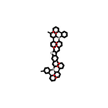 Cc1ccc(N(c2ccc3cc4c(cc3c2)oc2cc3cc(N(c5ccccc5-c5ccccc5)c5ccc(C)cc5-c5ccccc5)ccc3cc24)c2ccccc2-c2ccccc2)c(-c2ccccc2)c1